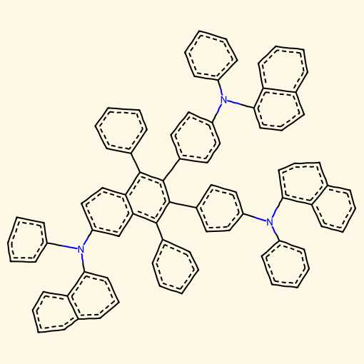 c1ccc(-c2c(-c3ccc(N(c4ccccc4)c4cccc5ccccc45)cc3)c(-c3ccc(N(c4ccccc4)c4cccc5ccccc45)cc3)c(-c3ccccc3)c3cc(N(c4ccccc4)c4cccc5ccccc45)ccc23)cc1